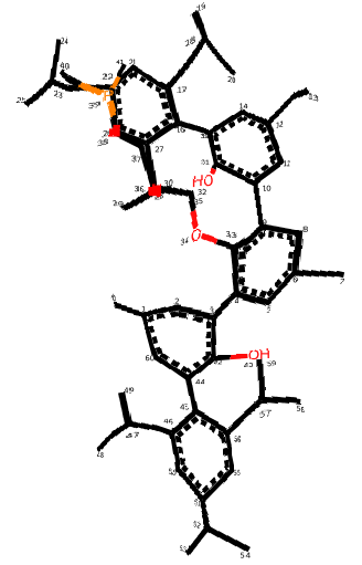 Cc1cc(-c2cc(C)cc(-c3cc(C)cc(-c4c(C(C)C)cc(C(C)C)cc4C(C)C)c3O)c2OCCCCP(C)C)c(O)c(-c2c(C(C)C)cc(C(C)C)cc2C(C)C)c1